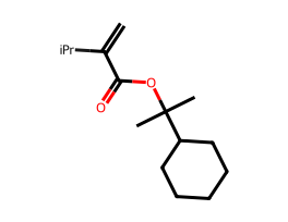 C=C(C(=O)OC(C)(C)C1CCCCC1)C(C)C